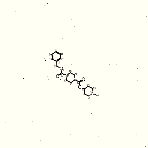 CN1CCC(OC(=O)C2CCN(C(=O)OCc3ccccc3)CC2)CC1